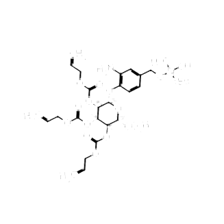 C=CCOC(=O)O[C@@H]1[C@@H](OC(=O)OCC=C)[C@H](Oc2ccc(CO[Si](C)(C)C(C)(C)C)cc2N)O[C@H](C(=O)O)[C@H]1OC(=O)OCC=C